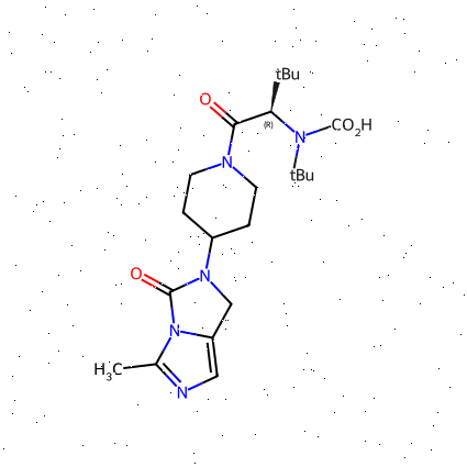 Cc1ncc2n1C(=O)N(C1CCN(C(=O)[C@H](N(C(=O)O)C(C)(C)C)C(C)(C)C)CC1)C2